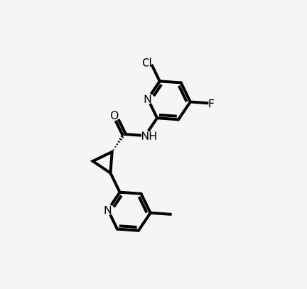 Cc1ccnc(C2C[C@@H]2C(=O)Nc2cc(F)cc(Cl)n2)c1